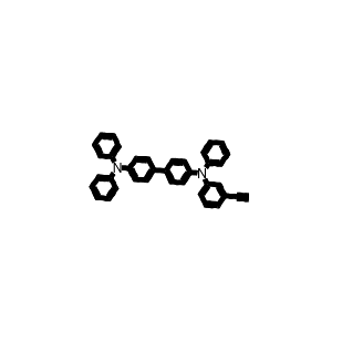 C#Cc1cccc(N(c2ccccc2)c2ccc(-c3ccc(N(c4ccccc4)c4ccccc4)cc3)cc2)c1